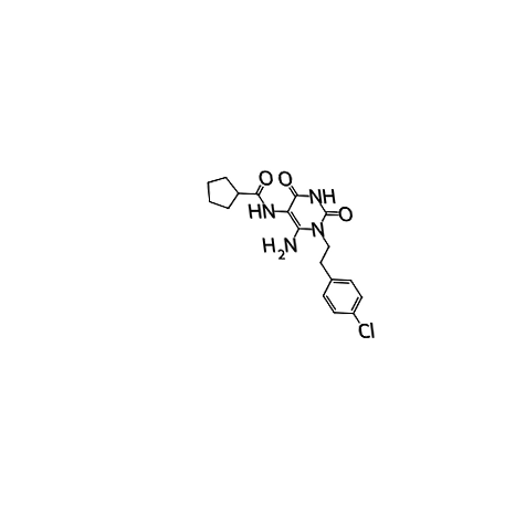 Nc1c(NC(=O)C2CCCC2)c(=O)[nH]c(=O)n1CCc1ccc(Cl)cc1